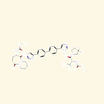 COC(=O)N[C@H]1CCC(=O)N2CCC[C@@H](c3ncc(-c4ccc(-c5ccc(-c6cnc([C@@H]7CC(F)(F)CN7C(=O)[C@@H](NC(=O)OC)C(C)C)[nH]6)cc5)cc4)[nH]3)N2C1=O